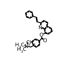 C[N+](C)(C)Cc1ccc(C(=O)Oc2cccc3ccc(C=Cc4ccccc4)nc23)cc1